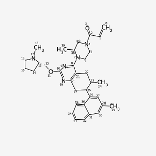 C=CC(=O)N1CCN(c2nc(OC[C@@H]3CCCN3C)nc3c2CC(C)C(c2cc(C)cc4ccccc24)C3)[C@@H](C)C1